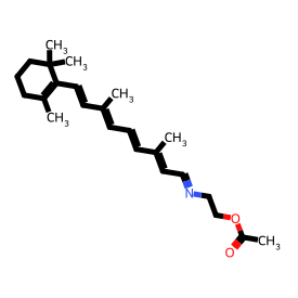 CC(=O)OCCN=C/C=C(C)/C=C/C=C(C)/C=C/C1=C(C)CCCC1(C)C